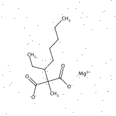 CCCCCC(CC)C(C)(C(=O)[O-])C(=O)[O-].[Mg+2]